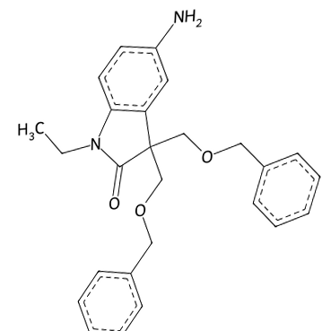 CCN1C(=O)C(COCc2ccccc2)(COCc2ccccc2)c2cc(N)ccc21